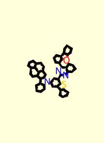 c1cc2ccc3cc4c(c5ccc(c1)c2c35)c1ccccc1n4-c1cc(-c2nc(-c3cccc4c3oc3ccccc34)c3ccccc3n2)c2sc3ccccc3c2c1